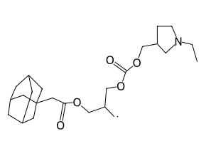 [CH2]C(COC(=O)CC12CC3CC(CC(C3)C1)C2)COC(=O)OCC1CCN(CC)C1